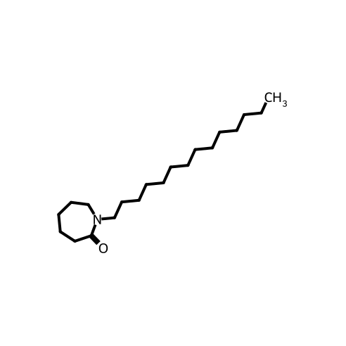 CCCCCCCCCCCCCCN1CCCCCC1=O